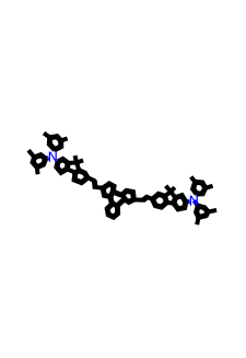 Cc1cc(C)cc(N(c2cc(C)cc(C)c2)c2ccc3c(c2)C(C)(C)c2cc(/C=C/c4ccc5c6ccc(/C=C/c7ccc8c(c7)C(C)(C)c7cc(N(c9cc(C)cc(C)c9)c9cc(C)cc(C)c9)ccc7-8)cc6c6ccccc6c5c4)ccc2-3)c1